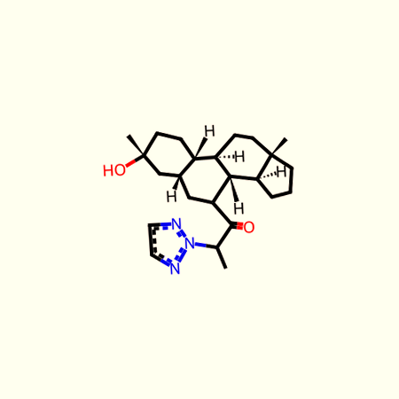 CC(C(=O)C1C[C@@H]2C[C@](C)(O)CC[C@@H]2[C@H]2CC[C@]3(C)CCC[C@H]3[C@H]12)n1nccn1